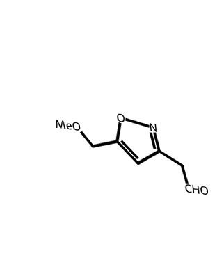 COCc1cc(CC=O)no1